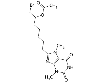 CC(=O)OC(CBr)CCCCCc1nc2c(c(=O)[nH]c(=O)n2C)n1C